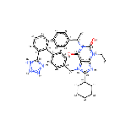 CCn1c(=O)n(C(C)c2ccccc2)c(=O)c2c1nc(C1CCCCC1)n2Cc1ccc(-c2ccccc2-c2nnn[nH]2)cc1